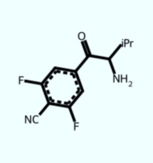 CC(C)C(N)C(=O)c1cc(F)c(C#N)c(F)c1